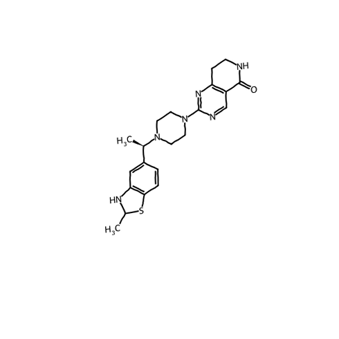 CC1Nc2cc([C@@H](C)N3CCN(c4ncc5c(n4)CCNC5=O)CC3)ccc2S1